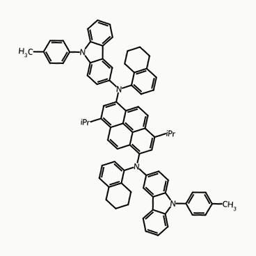 Cc1ccc(-n2c3ccccc3c3cc(N(c4cccc5c4CCCC5)c4cc(C(C)C)c5ccc6c(N(c7ccc8c(c7)c7ccccc7n8-c7ccc(C)cc7)c7cccc8c7CCCC8)cc(C(C)C)c7ccc4c5c76)ccc32)cc1